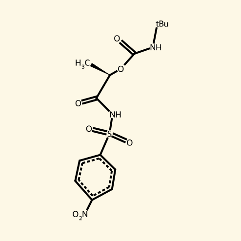 C[C@@H](OC(=O)NC(C)(C)C)C(=O)NS(=O)(=O)c1ccc([N+](=O)[O-])cc1